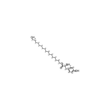 CCCCCCCCCCCCCCCCCCOC(=O)C(N)Cc1ccc(O)cc1